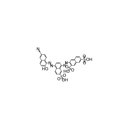 N#Cc1ccc2c(/N=N/c3ccc(/N=N/c4cc5ccc(S(=O)(=O)O)cc5cc4S(=O)(=O)O)c4cc(S(=O)(=O)O)ccc34)c(O)ccc2c1